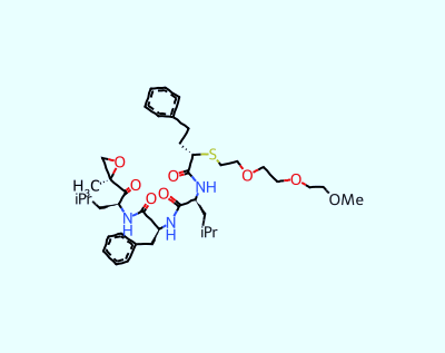 COCCOCCOCCS[C@@H](CCc1ccccc1)C(=O)N[C@@H](CC(C)C)C(=O)N[C@@H](Cc1ccccc1)C(=O)N[C@@H](CC(C)C)C(=O)[C@@]1(C)CO1